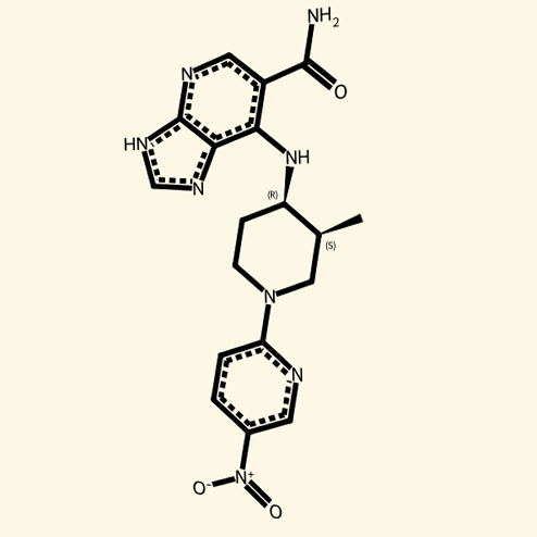 C[C@H]1CN(c2ccc([N+](=O)[O-])cn2)CC[C@H]1Nc1c(C(N)=O)cnc2[nH]cnc12